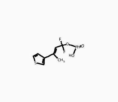 CC(=CC(F)(F)O[PH](=O)O)c1ccsc1